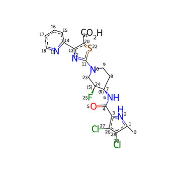 Cc1[nH]c(C(=O)N[C@@H]2CCN(c3nc(-c4ccccn4)c(C(=O)O)s3)C[C@@H]2F)c(Cl)c1Cl